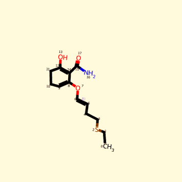 CCSCC/C=C/OC1=CCCC(O)=C1C(N)=O